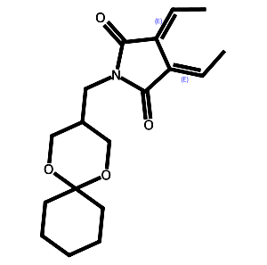 C/C=C1/C(=O)N(CC2COC3(CCCCC3)OC2)C(=O)/C1=C/C